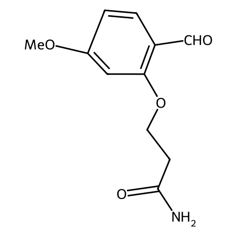 COc1ccc(C=O)c(OCCC(N)=O)c1